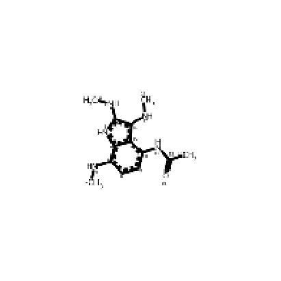 CNc1[nH]c2c(NC)ccc(NC(C)=O)c2c1NC